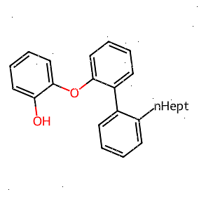 CCCCCCCc1ccccc1-c1ccccc1Oc1ccccc1O